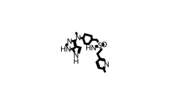 Cc1ccc(CCS(=N)(=O)CC2CCC(N(C)C3=C4C=CNC4NC=N3)CC2)cn1